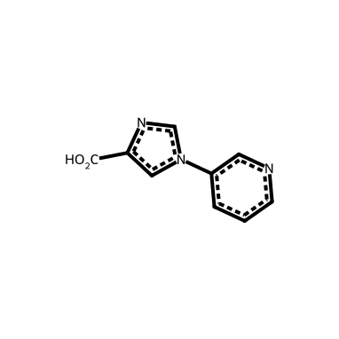 O=C(O)c1cn(-c2cccnc2)cn1